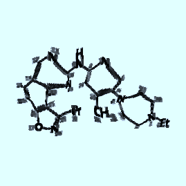 CCN1CCN(c2cnc(Nc3ncc4ccc5onc(C(C)C)c5c4n3)cc2C)CC1